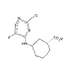 O=C(O)[C@@H]1CCCC(Nc2nc(Cl)ncc2F)C1